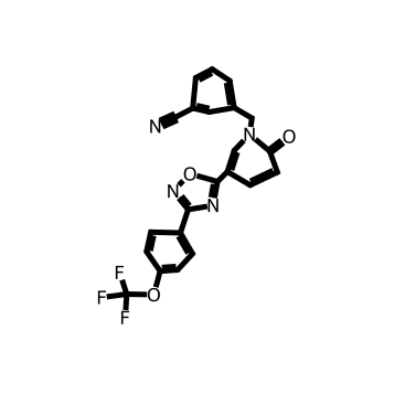 N#Cc1cccc(Cn2cc(-c3nc(-c4ccc(OC(F)(F)F)cc4)no3)ccc2=O)c1